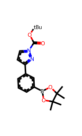 CC(C)(C)OC(=O)n1ccc(-c2cccc(B3OC(C)(C)C(C)(C)O3)c2)n1